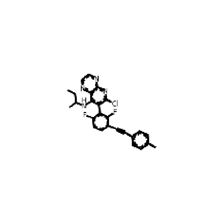 CCC(C)Nc1c(-c2c(F)ccc(C#Cc3ccc(C)cc3)c2F)c(Cl)nc2nccnc12